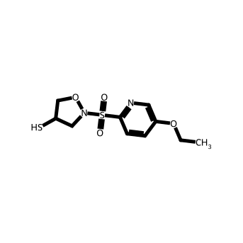 CCOc1ccc(S(=O)(=O)N2CC(S)CO2)nc1